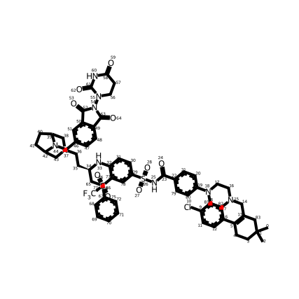 CC1(C)CCC(c2ccc(Cl)cc2)=C(CN2CCN(c3ccc(C(=O)NS(=O)(=O)c4ccc(N[C@H](CCN5CC6CCC(C5)N6Cc5ccc6c(c5)C(=O)N(N5CCC(=O)NC5=O)C6=O)CSc5ccccc5)c(S(=O)(=O)C(F)(F)F)c4)cc3)CC2)C1